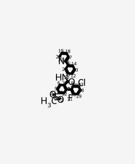 CS(=O)(=O)c1ccc(C(=O)Nc2cccc(-c3ccccn3)c2)c(-c2cc(Cl)ccc2F)c1